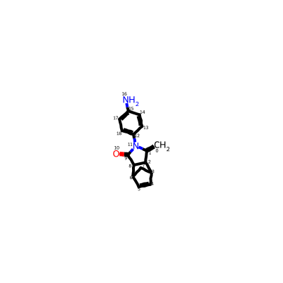 C=C1C2C3C=CC(C3)C2C(=O)N1c1ccc(N)cc1